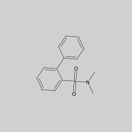 CN(C)S(=O)(=O)c1c[c]ccc1-c1ccccc1